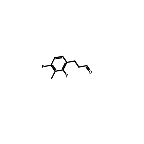 Cc1c(F)ccc(CCC=O)c1F